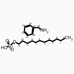 CCCCCCCCCCCCOS(=O)(=O)O.NCc1ccccc1